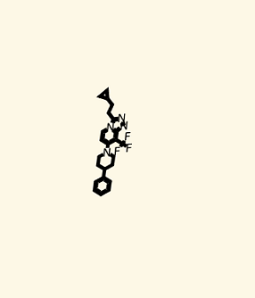 FC(F)(F)c1c(N2CCC(c3ccccc3)CC2)ccn2c(CCC3CC3)nnc12